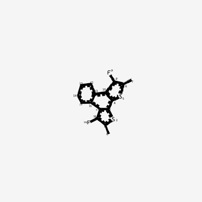 Cc1sc2c3sc(C)c(F)c3c3ccccc3c2c1F